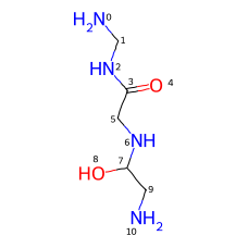 NCNC(=O)CNC(O)CN